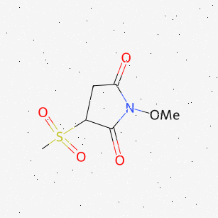 CON1C(=O)CC(S(C)(=O)=O)C1=O